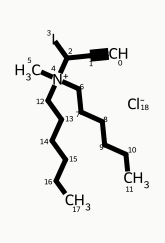 C#CC(I)[N+](C)(CCCCCC)CCCCCC.[Cl-]